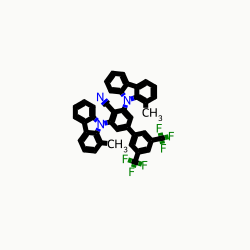 Cc1cccc2c3ccccc3n(-c3cc(-c4cc(C(F)(F)F)cc(C(F)(F)F)c4)cc(-n4c5ccccc5c5cccc(C)c54)c3C#N)c12